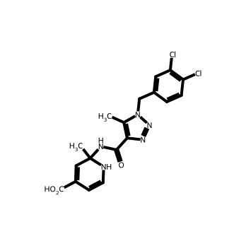 Cc1c(C(=O)NC2(C)C=C(C(=O)O)C=CN2)nnn1Cc1ccc(Cl)c(Cl)c1